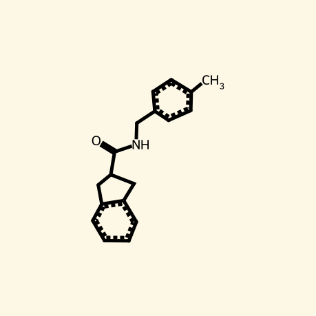 Cc1ccc(CNC(=O)C2Cc3ccccc3C2)cc1